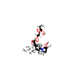 CCC(C(C(=O)O)C(C(=O)O)C(C)(CC)C(=O)OCCOC(=O)CC(C)=O)N1CCCC1=O